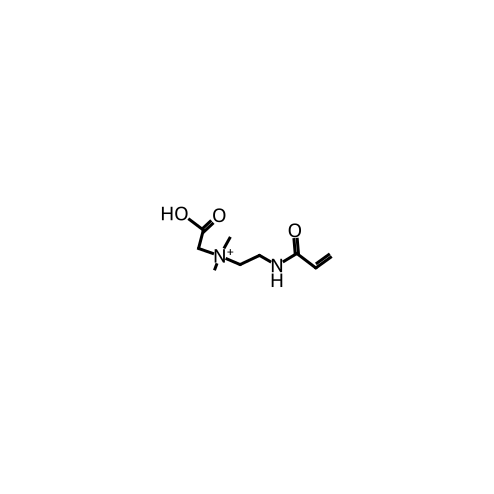 C=CC(=O)NCC[N+](C)(C)CC(=O)O